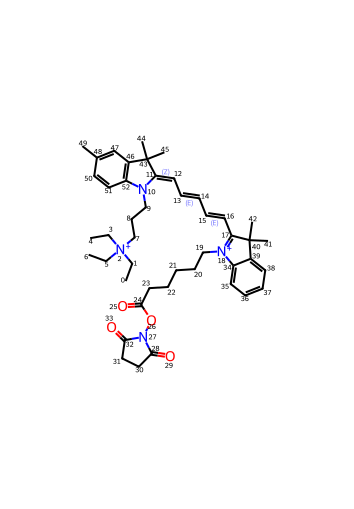 CC[N+](CC)(CC)CCCN1\C(=C/C=C/C=C/C2=[N+](CCCCCC(=O)ON3C(=O)CCC3=O)c3ccccc3C2(C)C)C(C)(C)c2cc(C)ccc21